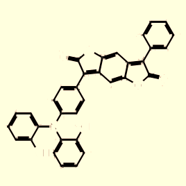 Cc1ccccc1N(c1ccc(C2=c3cc4c(cc3OC2=O)=C(c2ccccc2)C(=O)O4)cc1)c1ccccc1C